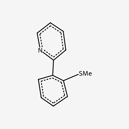 CSc1ccccc1-c1ccccn1